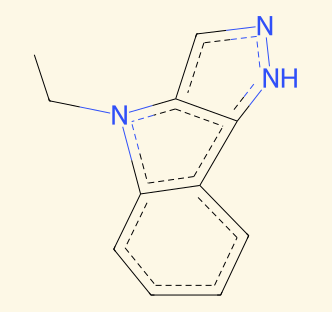 CCn1c2ccccc2c2[nH]ncc21